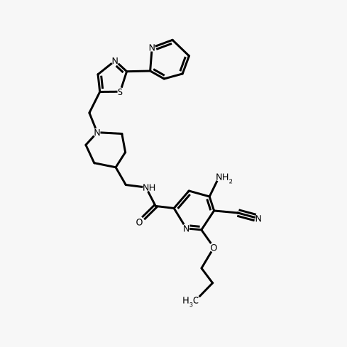 CCCOc1nc(C(=O)NCC2CCN(Cc3cnc(-c4ccccn4)s3)CC2)cc(N)c1C#N